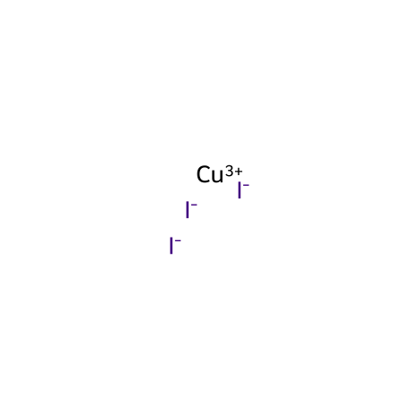 [Cu+3].[I-].[I-].[I-]